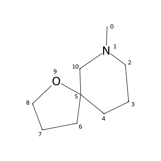 CN1CCCC2(CCCO2)C1